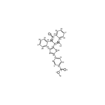 COC(=O)c1ccc(-c2ccc(C3N(C)c4ccccc4C(=O)N3c3ccccc3)s2)cc1